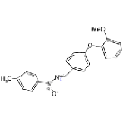 COc1ccccc1Oc1ccc(/C=N/[S@+]([O-])c2ccc(C)cc2)cc1